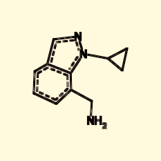 NCc1cccc2cnn(C3CC3)c12